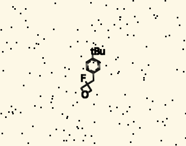 CC(C)(C)c1ccc(CC2(F)COC2)cc1